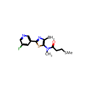 Bc1nc(-c2cncc(F)c2)sc1N(C)C(=O)CCSC